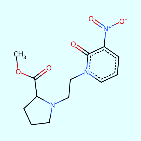 COC(=O)C1CCCN1CCn1cccc([N+](=O)[O-])c1=O